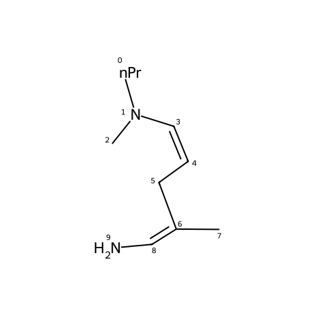 CCCN(C)/C=C\C/C(C)=C\N